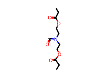 CCC(=O)OCCN([C]=O)CCOC(=O)CC